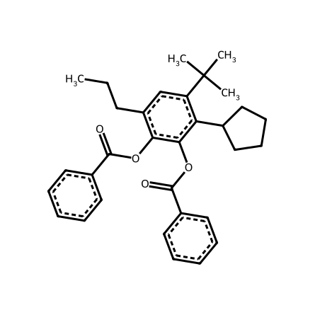 CCCc1cc(C(C)(C)C)c(C2CCCC2)c(OC(=O)c2ccccc2)c1OC(=O)c1ccccc1